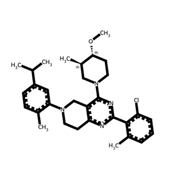 CO[C@@H]1CCN(c2nc(-c3c(C)cccc3Cl)nc3c2CN(c2cc(C(C)C)ccc2C)CC3)C[C@H]1C